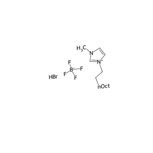 Br.CCCCCCCCCC[n+]1ccn(C)c1.F[B-](F)(F)F